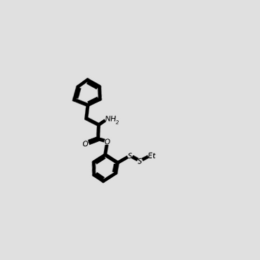 CCSSc1ccccc1OC(=O)C(N)Cc1ccccc1